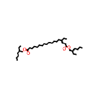 CCCCC(CC)COC(=O)CCCCCCCCCCCCCC(CC)CCC(=O)OCC(CC)CCCC